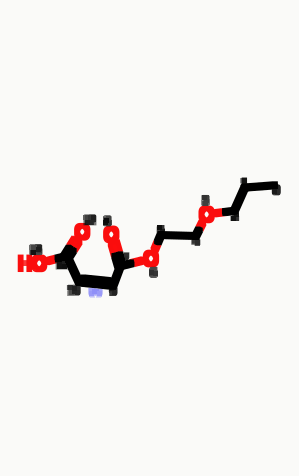 CCCOCCOC(=O)/C=C\C(=O)O